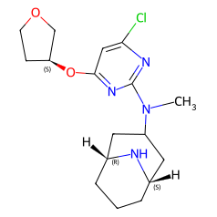 CN(c1nc(Cl)cc(O[C@H]2CCOC2)n1)C1C[C@H]2CCC[C@@H](C1)N2